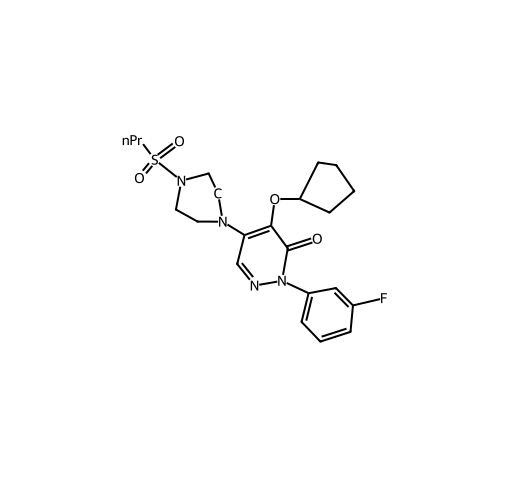 CCCS(=O)(=O)N1CCN(c2cnn(-c3cccc(F)c3)c(=O)c2OC2CCCC2)CC1